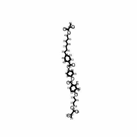 O=C(Oc1ccc(OC(=O)c2ccc(OCCCCOC(=O)C3CO3)c(F)c2F)cc1)c1ccc(CCCCCCCOC(=O)C2CO2)cc1